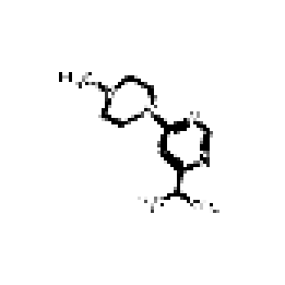 CC(C)c1cc(N2CCN(C)CC2)ncn1